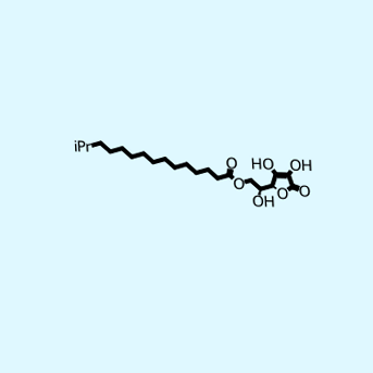 CC(C)CCCCCCCCCCCCC(=O)OC[C@H](O)[C@H]1OC(=O)C(O)=C1O